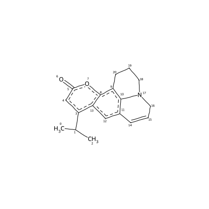 CC(C)c1cc(=O)oc2c3c4c(cc12)C=CCN4CCC3